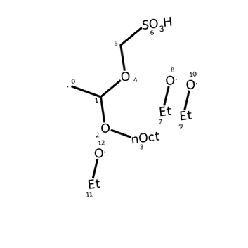 [CH2]C(OCCCCCCCC)OCS(=O)(=O)O.[CH2]C[O].[CH2]C[O].[CH2]C[O]